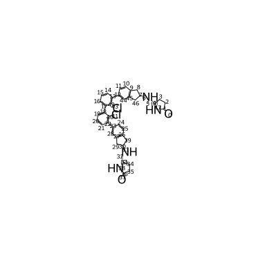 O=C1CC[C@@H](CNC2Cc3ccc(-c4cccc(-c5cccc(-c6ccc7c(c6)CC(NC[C@@H]6CCC(=O)N6)C7)c5Cl)c4Cl)cc3C2)N1